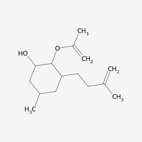 C=C(C)CCC1CC(C)CC(O)C1OC(=C)C